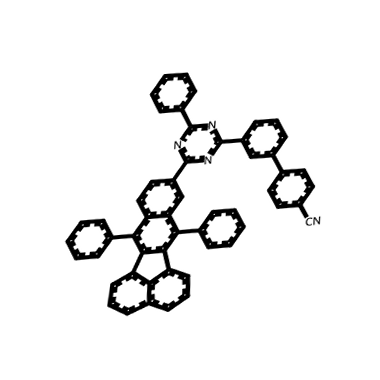 N#Cc1ccc(-c2cccc(-c3nc(-c4ccccc4)nc(-c4ccc5c(-c6ccccc6)c6c(c(-c7ccccc7)c5c4)-c4cccc5cccc-6c45)n3)c2)cc1